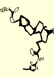 CCCCC(=O)Oc1ccc2c(c1)CCC1C2CCC2(C)C(=O)CC(CCC(=O)Nc3ncc(C)s3)C12